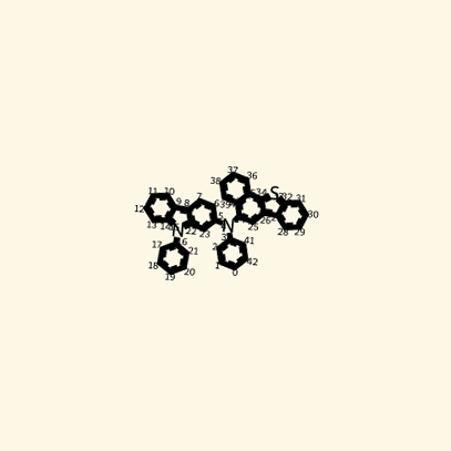 c1ccc(N(c2ccc3c4ccccc4n(-c4ccccc4)c3c2)c2cc3c4ccccc4sc3c3ccccc23)cc1